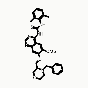 COc1cc2c(NC(=S)Nc3c(C)cccc3C)ncnc2cc1OCC1COCCN1Cc1ccccc1